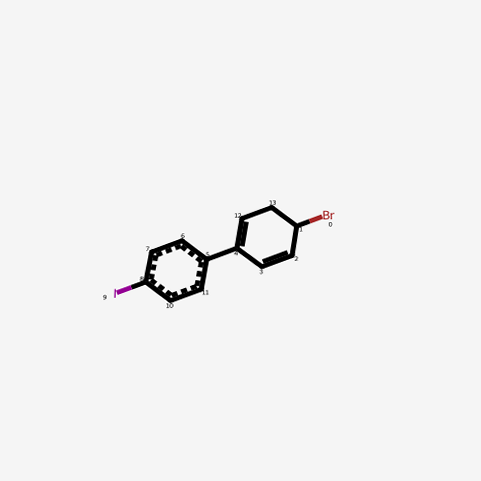 BrC1C=CC(c2ccc(I)cc2)=CC1